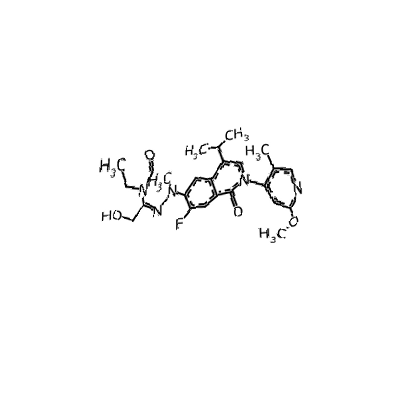 CCN(C=O)/C(CO)=N\N(C)c1cc2c(C(C)C)cn(-c3cc(OC)ncc3C)c(=O)c2cc1F